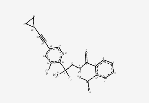 CC(F)(CNC(=O)c1cccnc1C(F)F)c1ncc(C#CC2CC2)cc1Cl